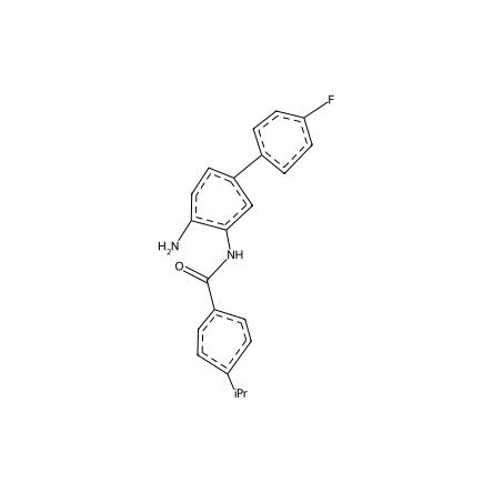 CC(C)c1ccc(C(=O)Nc2cc(-c3ccc(F)cc3)ccc2N)cc1